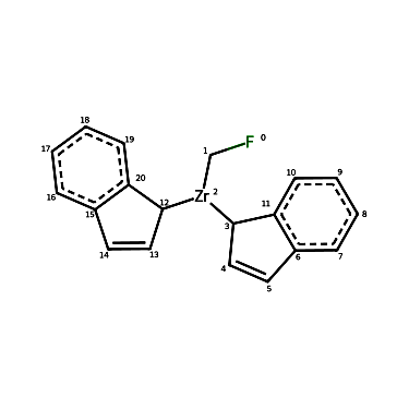 F[CH2][Zr]([CH]1C=Cc2ccccc21)[CH]1C=Cc2ccccc21